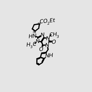 CCOC(=O)[C@H]1CC[C@@H](Nc2nc3c(c(=O)n(Cc4cc5ccccc5[nH]4)c(=O)n3C)n2C)C1